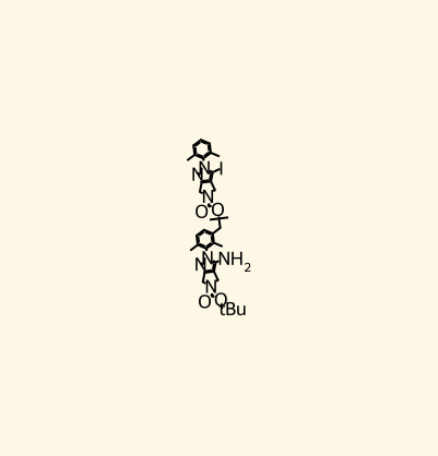 Cc1cccc(C)c1-n1nc2c(c1I)CN(C(=O)OC(C)(C)Cc1ccc(C)c(-n3nc4c(c3N)CN(C(=O)OC(C)(C)C)C4)c1C)C2